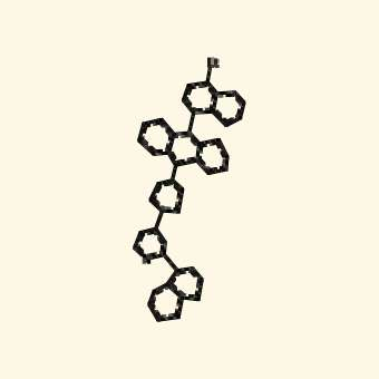 CCc1ccc(-c2c3ccccc3c(-c3ccc(-c4ccnc(-c5cccc6ccccc56)c4)cc3)c3ccccc23)c2ccccc12